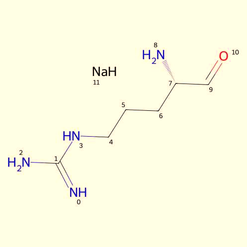 N=C(N)NCCC[C@H](N)C=O.[NaH]